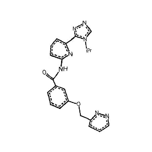 CC(C)n1cnnc1-c1cccc(NC(=O)c2cccc(OCc3cccnn3)c2)n1